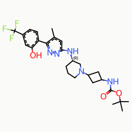 Cc1cc(N[C@@H]2CCCN(C3CC(NC(=O)OC(C)(C)C)C3)C2)nnc1-c1ccc(C(F)(F)F)cc1O